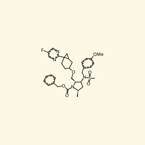 COc1ccc(CN([C@H]2C[C@@H](C)N(C(=O)OCc3ccccc3)[C@H]2COC2CCC3(c4ncc(F)cn4)CC3C2)S(C)(=O)=O)cc1